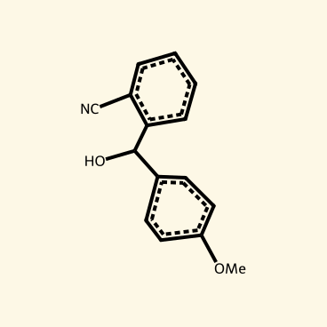 COc1ccc(C(O)c2ccccc2C#N)cc1